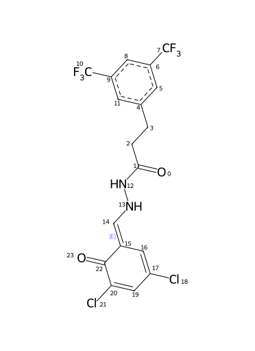 O=C(CCc1cc(C(F)(F)F)cc(C(F)(F)F)c1)NN/C=C1\C=C(Cl)C=C(Cl)C1=O